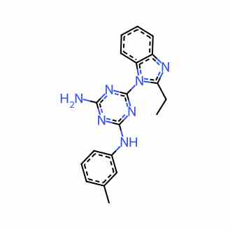 CCc1nc2ccccc2n1-c1nc(N)nc(Nc2cccc(C)c2)n1